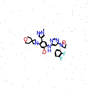 COc1cc(N2CC3(CCOCC3)C2)c(-c2cnn(C)c2)cc1Nc1cc(N2OCC[C@@H]2c2cccc(F)c2F)ncn1